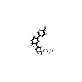 CCOC(=O)C1(C)CC(c2cc(-c3ccc(C)nc3)c(F)cc2Cl)=NO1